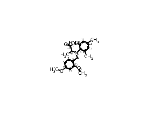 COc1ccc(CN(c2c(C)cc(C)cc2C)[C@@H](C)C(=O)O)c(OC)c1